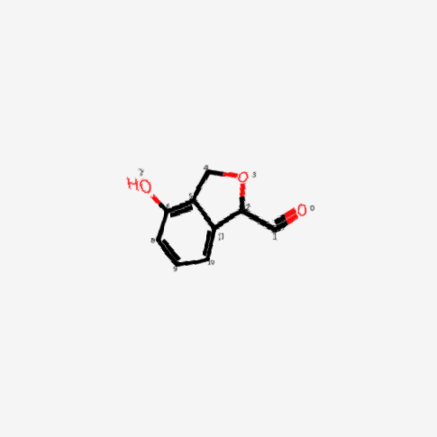 O=CC1OCc2c(O)cccc21